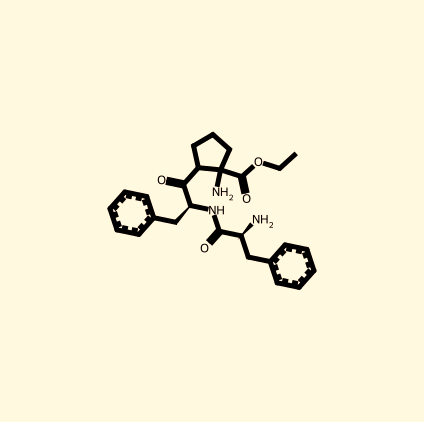 CCOC(=O)C1(N)CCCC1C(=O)[C@H](Cc1ccccc1)NC(=O)[C@@H](N)Cc1ccccc1